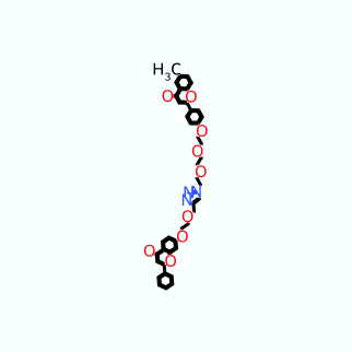 Cc1ccc2oc(-c3ccc(OCCOCCOCCn4cc(COCCOc5ccc6c(=O)cc(-c7ccccc7)oc6c5)nn4)cc3)cc(=O)c2c1